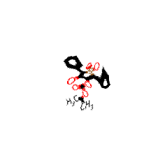 CC(C)OC(=O)OC1=C(c2ccccc2)S(=O)(=O)C(c2ccccc2)C1=O